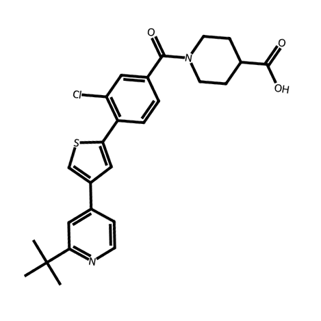 CC(C)(C)c1cc(-c2csc(-c3ccc(C(=O)N4CCC(C(=O)O)CC4)cc3Cl)c2)ccn1